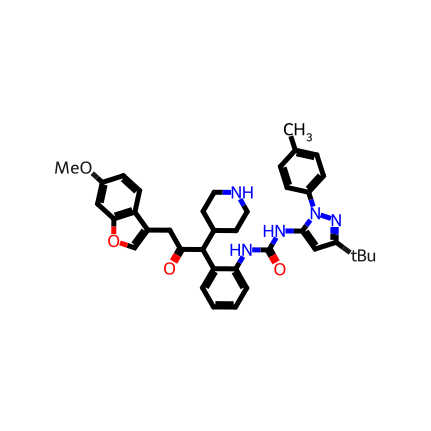 COc1ccc2c(CC(=O)C(c3ccccc3NC(=O)Nc3cc(C(C)(C)C)nn3-c3ccc(C)cc3)C3CCNCC3)coc2c1